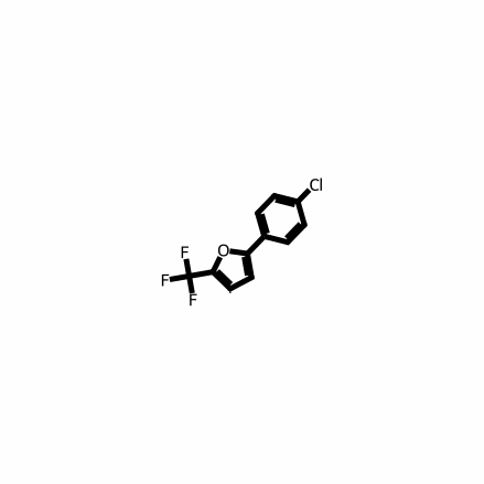 FC(F)(F)c1[c]cc(-c2ccc(Cl)cc2)o1